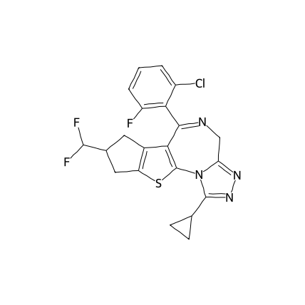 Fc1cccc(Cl)c1C1=NCc2nnc(C3CC3)n2-c2sc3c(c21)CC(C(F)F)C3